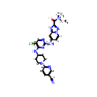 CN(C)C(=O)c1nc2cc(Nc3ncc(Cl)c(NC4CCN(c5ccc(C#N)cn5)CC4)n3)ccn2n1